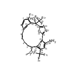 COC1CCCCc2ccc(F)c(c2)C(O)(C(F)(F)F)c2nnc(o2)-c2nc1c(C(F)(F)F)cc2N